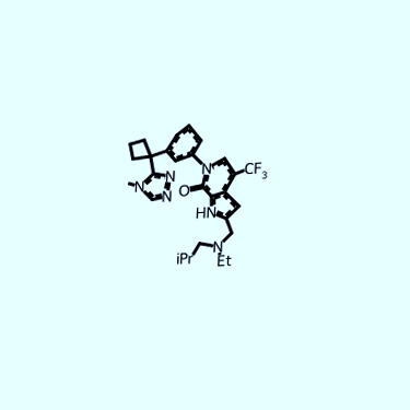 CCN(Cc1cc2c(C(F)(F)F)cn(-c3cccc(C4(c5nncn5C)CCC4)c3)c(=O)c2[nH]1)CC(C)C